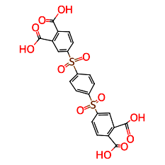 O=C(O)c1ccc(S(=O)(=O)c2ccc(S(=O)(=O)c3ccc(C(=O)O)c(C(=O)O)c3)cc2)cc1C(=O)O